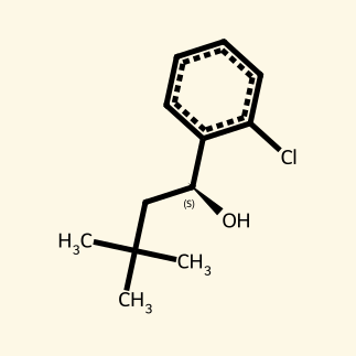 CC(C)(C)C[C@H](O)c1ccccc1Cl